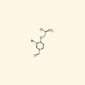 C=C(Cl)COc1ccc(C=O)cc1Br